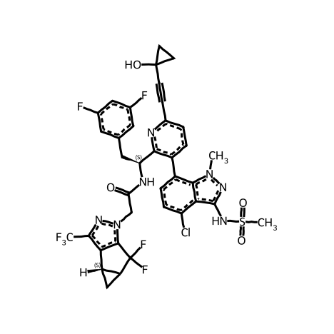 Cn1nc(NS(C)(=O)=O)c2c(Cl)ccc(-c3ccc(C#CC4(O)CC4)nc3[C@H](Cc3cc(F)cc(F)c3)NC(=O)Cn3nc(C(F)(F)F)c4c3C(F)(F)C3C[C@H]43)c21